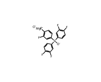 [Cl-].[Mg+2].[O-][Si](c1ccc(F)c(F)c1)(c1ccc(F)c(F)c1)c1ccc(F)c(F)c1